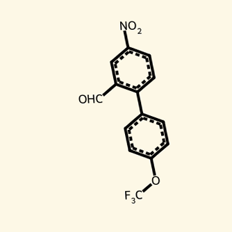 O=Cc1cc([N+](=O)[O-])ccc1-c1ccc(OC(F)(F)F)cc1